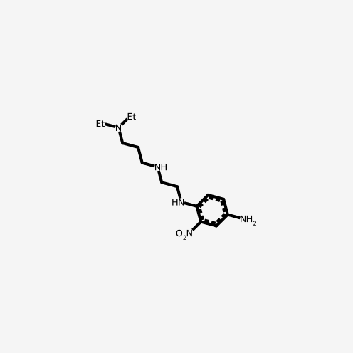 CCN(CC)CCCNCCNc1ccc(N)cc1[N+](=O)[O-]